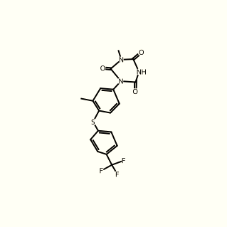 Cc1cc(-n2c(=O)[nH]c(=O)n(C)c2=O)ccc1Sc1ccc(C(F)(F)F)cc1